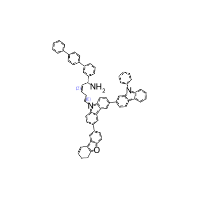 NC(/C=C\C=C\n1c2ccc(-c3ccc4oc5c(c4c3)C=CCC5)cc2c2cc(-c3ccc4c5ccccc5n(-c5ccccc5)c4c3)ccc21)c1cccc(-c2ccc(-c3ccccc3)cc2)c1